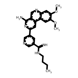 CCCCNC(=N)c1cncc(-c2cc3c(cnc4cc(OC)c(OC)cc43)c(N)n2)c1